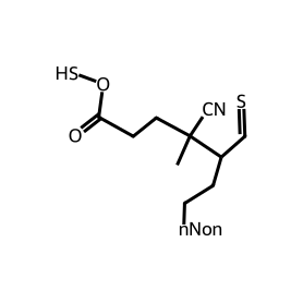 CCCCCCCCCCCC(C=S)C(C)(C#N)CCC(=O)OS